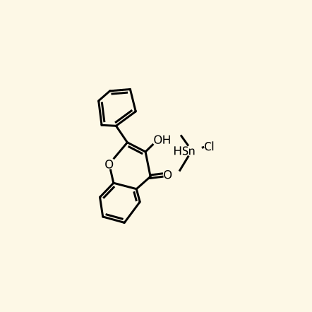 O=c1c(O)c(-c2ccccc2)oc2ccccc12.[CH3][SnH]([CH3])[Cl]